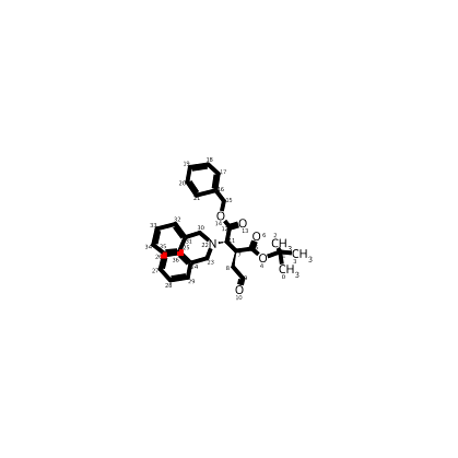 CC(C)(C)OC(=O)[C@@H](CC=O)[C@@H](C(=O)OCc1ccccc1)N(Cc1ccccc1)Cc1ccccc1